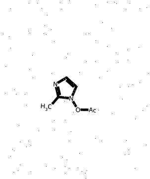 CC(=O)On1ccnc1C